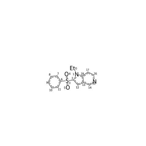 CCn1c(S(=O)(=O)c2ccccc2)cc2cnccc21